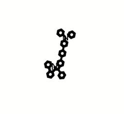 c1ccc(-c2c3ccc(-c4ccc(-c5ccc(N(c6ccccc6)c6ccccc6)cc5)cc4)cc3n3c4ccccc4c4ccccc4c23)cc1